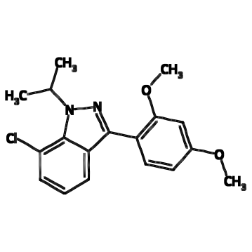 COc1ccc(-c2nn(C(C)C)c3c(Cl)cccc23)c(OC)c1